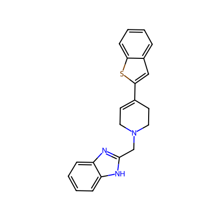 C1=C(c2cc3ccccc3s2)CCN(Cc2nc3ccccc3[nH]2)C1